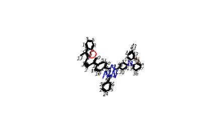 C=C(/C=C\c1oc2ccccc2c1C)c1ccc(-c2nc(-c3ccccc3)nc(-c3ccc(N4c5ccccc5Sc5ccccc54)cc3)n2)cc1